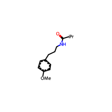 COc1ccc(CCCNC(=O)C(C)C)cc1